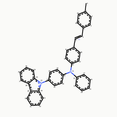 Cc1ccc(/C=C/c2ccc(N(c3ccccc3)c3ccc(-n4c5ccccc5c5ccccc54)cc3)cc2)cc1